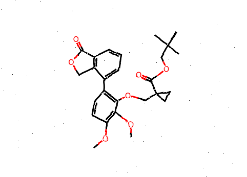 COc1ccc(-c2cccc3c2COC3=O)c(OCC2(C(=O)OCC(C)(C)C)CC2)c1OC